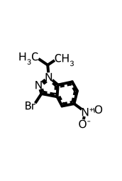 CC(C)n1nc(Br)c2cc([N+](=O)[O-])ccc21